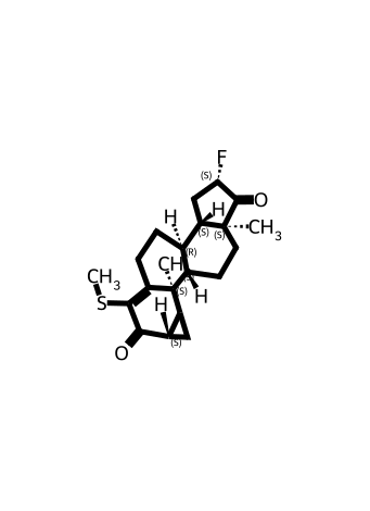 CSC1=C2CC[C@H]3[C@@H]4C[C@H](F)C(=O)[C@@]4(C)CC[C@@H]3[C@@]2(C)C2C[C@@H]2C1=O